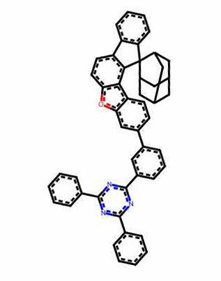 c1ccc(-c2nc(-c3ccccc3)nc(-c3cccc(-c4ccc5c(c4)oc4ccc6c(c45)C4(c5ccccc5-6)C5CC6CC(C5)CC4C6)c3)n2)cc1